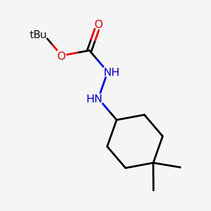 CC1(C)CCC(NNC(=O)OC(C)(C)C)CC1